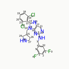 Fc1cc(F)cc(CNc2ncc3nc(-c4c(Cl)cccc4Cl)n(CC4CCNC4)c3n2)c1